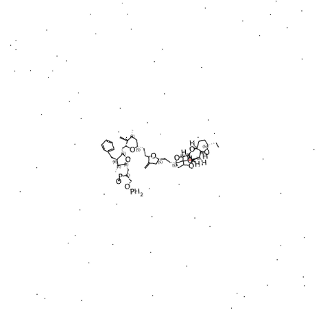 C=C1C[C@H](CC[C@@]23CC4O[C@H]5[C@@H](O2)[C@H]2O[C@@H](CC)CC[C@@H]2O[C@H]5[C@H]4O3)OC1CC[C@H]1C[C@@H](C)C(=C)C(C[C@@H]2O[C@H](C[C@@H](COP)P=O)[C@H](C)[C@H]2Cc2ccccc2)O1